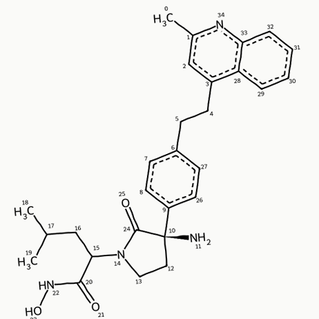 Cc1cc(CCc2ccc([C@]3(N)CCN(C(CC(C)C)C(=O)NO)C3=O)cc2)c2ccccc2n1